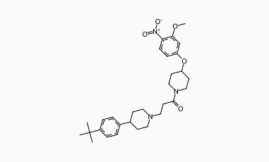 COc1cc(OC2CCN(C(=O)CCN3CCC(c4ccc(C(C)(C)C)cc4)CC3)CC2)ccc1[N+](=O)[O-]